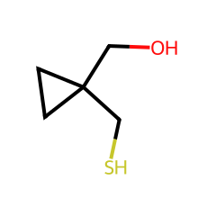 OCC1(CS)CC1